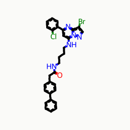 O=C(Cc1ccc(-c2ccccc2)cc1)NCCCCNc1cc(-c2ccccc2Cl)nc2c(Br)cnn12